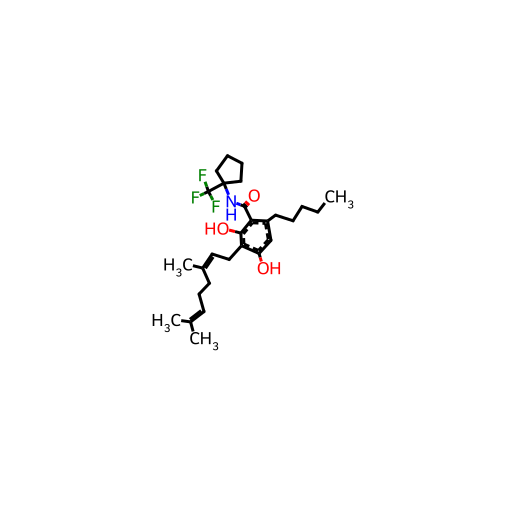 CCCCCc1cc(O)c(CC=C(C)CCC=C(C)C)c(O)c1C(=O)NC1(C(F)(F)F)CCCC1